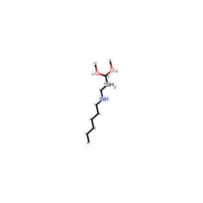 CCCCCCNC[SiH2]C(OC)OC